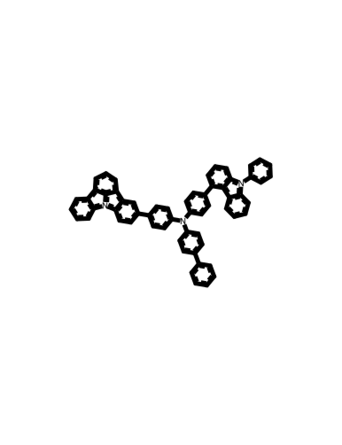 c1ccc(-c2ccc(N(c3ccc(-c4ccc5c(c4)c4cccc6c7ccccc7n5c64)cc3)c3ccc(-c4cccc5c4c4ccccc4n5-c4ccccc4)cc3)cc2)cc1